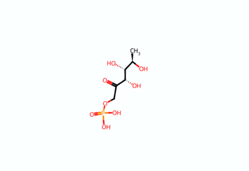 C[C@@H](O)[C@@H](O)[C@H](O)C(=O)COP(=O)(O)O